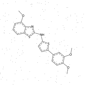 COc1ccc(-c2ccc(Nc3nc4c(OC)cccc4s3)s2)cc1OC